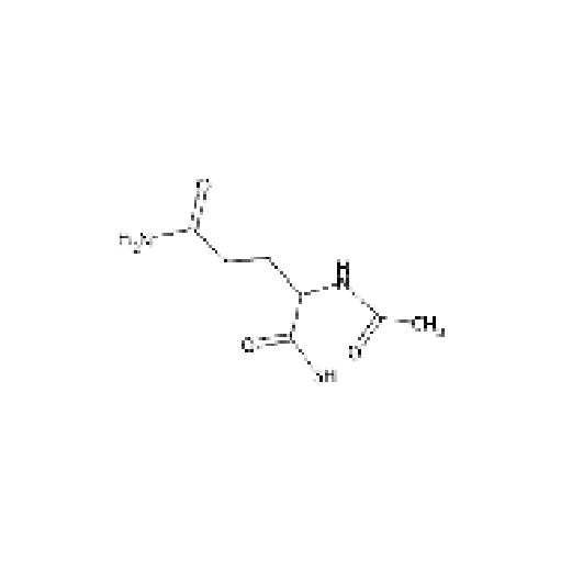 CC(=O)NC(CCC(N)=O)C(=O)S